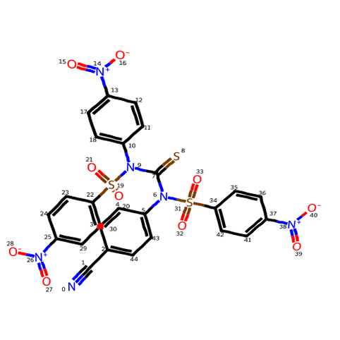 N#Cc1ccc(N(C(=S)N(c2ccc([N+](=O)[O-])cc2)S(=O)(=O)c2ccc([N+](=O)[O-])cc2)S(=O)(=O)c2ccc([N+](=O)[O-])cc2)cc1